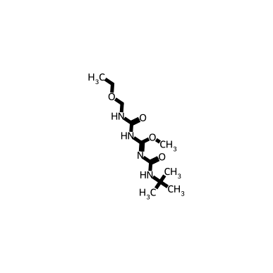 CCOCNC(=O)NC(=NC(=O)NC(C)(C)C)OC